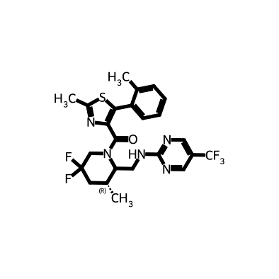 Cc1nc(C(=O)N2CC(F)(F)C[C@@H](C)C2CNc2ncc(C(F)(F)F)cn2)c(-c2ccccc2C)s1